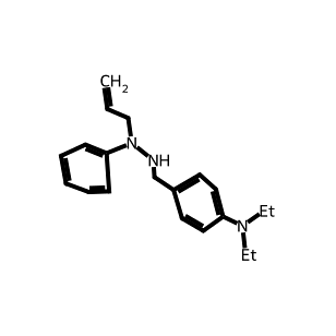 C=CCN(NCc1ccc(N(CC)CC)cc1)c1ccccc1